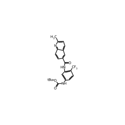 Cc1ccc2cc(C(=O)Nc3cc(NC(=O)OC(C)(C)C)ccc3C(F)(F)F)ccc2n1